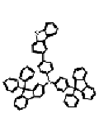 C1=C(N(c2ccc(-c3ccc4sc5ccccc5c4c3)cc2)c2ccc(C3(c4ccccc4)c4ccccc4-c4ccccc43)cc2)C=C2C(C1)c1ccccc1C2(c1ccccc1)c1ccccc1